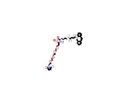 O=C(CCC(=O)N1Cc2ccccc2C#Cc2ccccc21)NCCCC[C@@H](NC(=O)CCOCCOCCOCCOCCN1C(=O)C=CC1=O)C(=O)O